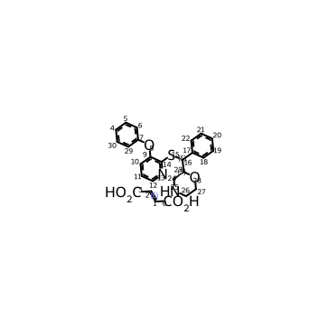 O=C(O)/C=C/C(=O)O.c1ccc(Oc2cccnc2S[C@@H](c2ccccc2)[C@@H]2CNCCO2)cc1